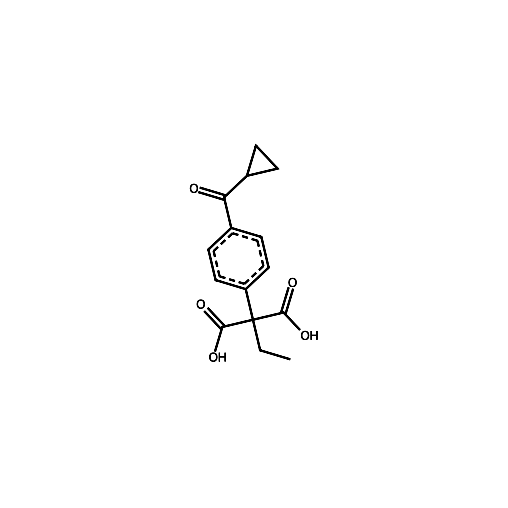 CCC(C(=O)O)(C(=O)O)c1ccc(C(=O)C2CC2)cc1